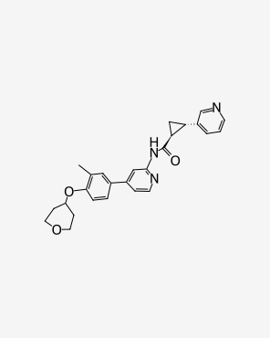 Cc1cc(-c2ccnc(NC(=O)[C@H]3C[C@@H]3c3cccnc3)c2)ccc1OC1CCOCC1